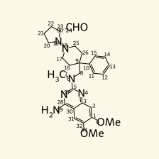 COc1cc2nc(N(C)CC3(c4ccccc4)CCN(N4CCC[C@@H]4C=O)CC3)nc(N)c2cc1OC